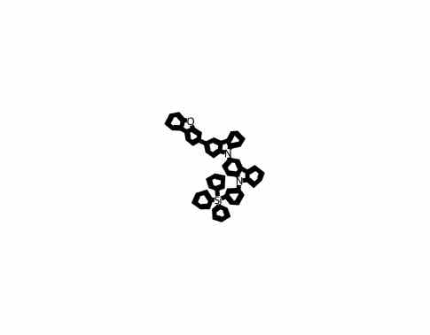 c1ccc([Si](c2ccccc2)(c2ccccc2)c2cccc(-n3c4ccccc4c4cc(-n5c6ccccc6c6cc(-c7ccc8c(c7)oc7ccccc78)ccc65)ccc43)c2)cc1